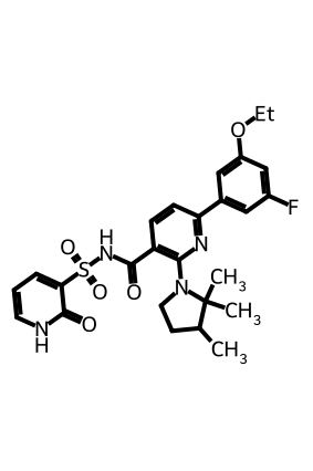 CCOc1cc(F)cc(-c2ccc(C(=O)NS(=O)(=O)c3ccc[nH]c3=O)c(N3CCC(C)C3(C)C)n2)c1